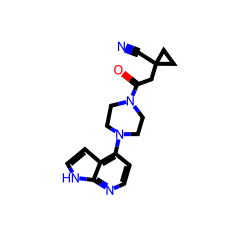 N#CC1(CC(=O)N2CCN(c3ccnc4[nH]ccc34)CC2)CC1